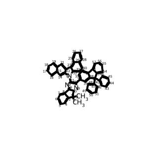 CC1(C)c2ccccc2-c2nc(-n3c4cc5ccccc5cc4c4c5ccccc5ccc43)c(-c3ccc4c(c3)C(c3ccccc3)(c3ccccc3)c3ccccc3-4)nc21